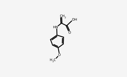 C=C(Nc1ccc(OC)cc1)C(=O)O